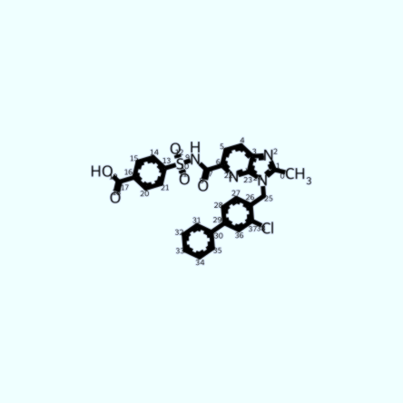 Cc1nc2ccc(C(=O)NS(=O)(=O)c3ccc(C(=O)O)cc3)nc2n1Cc1ccc(-c2ccccc2)cc1Cl